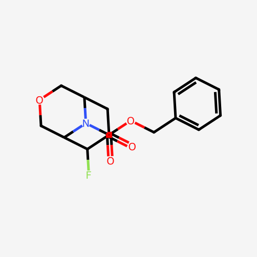 O=C1CC2COCC(C1F)N2C(=O)OCc1ccccc1